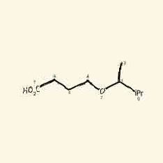 CC(C)C(C)OCCCC(=O)O